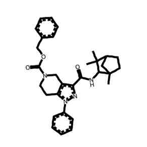 CC12CCC(C1)C(C)(C)C2NC(=O)c1nn(-c2ccccc2)c2c1CN(C(=O)OCc1ccccc1)CC2